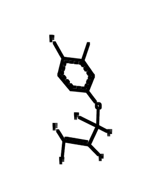 Cc1cc(OC(F)(F)C(F)=C(F)F)ccc1F